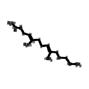 COCOC/C(C)=C/CC/C(C)=C/COPP